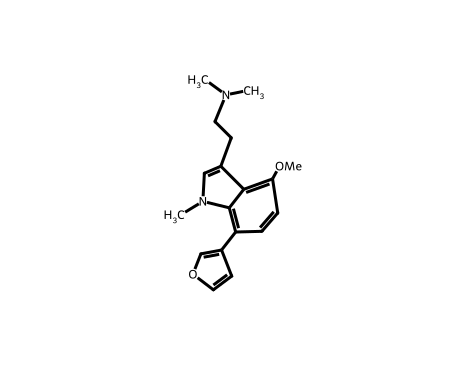 COc1ccc(-c2ccoc2)c2c1c(CCN(C)C)cn2C